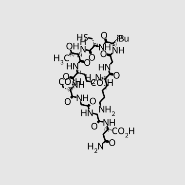 CC[C@H](C)[C@H](NC(=O)CNC(=O)[C@@H](N)CCCCN)C(=O)N[C@@H](CS)C(=O)N[C@H](C(=O)N[C@@H](CCC(=O)O)C(=O)N[C@@H](CC(=O)O)C(=O)NCC(=O)NCC(=O)N[C@@H](CC(N)=O)C(=O)O)[C@@H](C)O